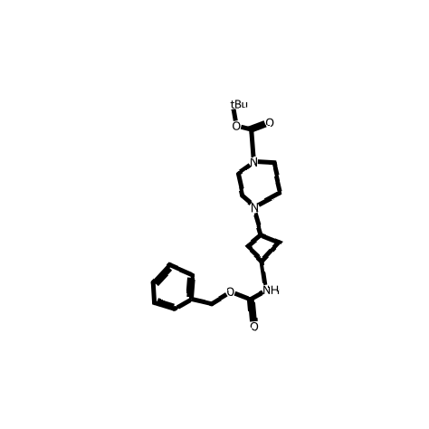 CC(C)(C)OC(=O)N1CCN(C2CC(NC(=O)OCc3ccccc3)C2)CC1